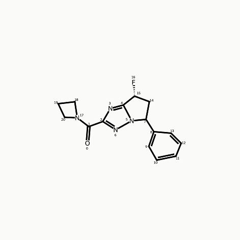 O=C(c1nc2n(n1)C(c1ccccc1)C[C@H]2F)N1CCC1